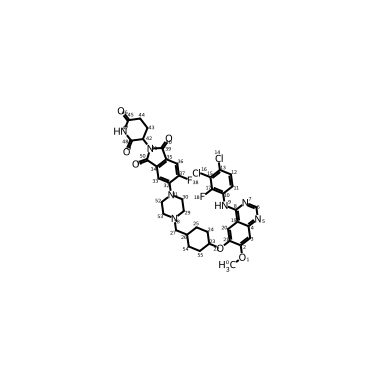 COc1cc2ncnc(Nc3ccc(Cl)c(Cl)c3F)c2cc1OC1CCC(CN2CCN(c3cc4c(cc3F)C(=O)N(C3CCC(=O)NC3=O)C4=O)CC2)CC1